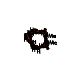 COc1cc2c3cc1OCCCCCOc1cc4c(cc1OC)C(=O)N1CC(c5ccccc5)=C[C@H]1C(O)N4C(=O)OCc1ccc(cc1)NC(=O)[C@H](C)NC(=O)[C@@H](C(C)C)NC(=O)CCCNC(=O)[C@@H](NC(=O)CCCN1C(=O)C=CC1=O)[C@@H](NC(=O)CCCN1C(=O)C=CC1=O)C(=O)NCCCC(=O)N[C@@H](C(C)C)C(=O)N[C@@H](C)C(=O)Nc1ccc(cc1)COC(=O)N3C(O)[C@@H]1C=C(c3ccccc3)CN1C2=O